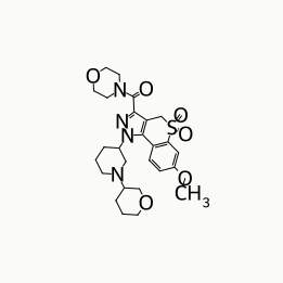 COc1ccc2c(c1)S(=O)(=O)Cc1c(C(=O)N3CCOCC3)nn(C3CCCN(C4CCCOC4)C3)c1-2